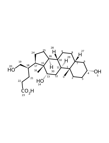 C[C@]12CC[C@@H](O)C[C@H]1CC[C@@H]1[C@@H]2C[C@H](O)[C@]2(C)[C@@H]([C@H](CO)CCC(=O)O)CC[C@@H]12